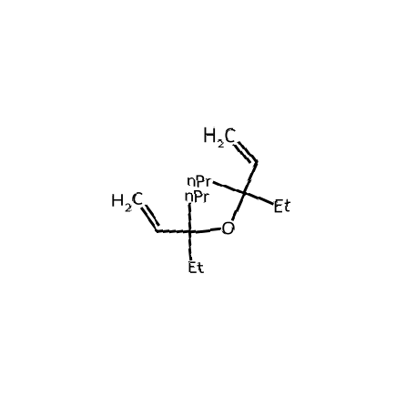 C=CC(CC)(CCC)OC(C=C)(CC)CCC